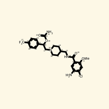 COc1cc(Cl)c(N)cc1C(=O)NCC1CCN(CC(OC(N)=O)c2ccc(C(F)(F)F)cc2)CC1